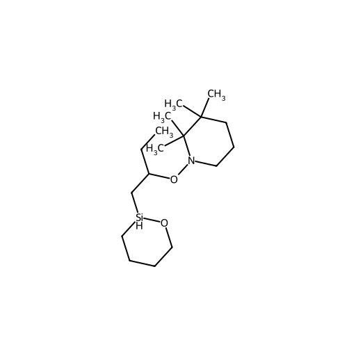 CCC(C[SiH]1CCCCO1)ON1CCCC(C)(C)C1(C)C